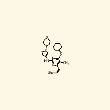 CCC(C)/C=C\c1nc(Nc2cnn(C3CCOCC3)c2)nc(OC2CCCCC2)c1C